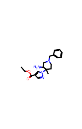 CCOC(=O)c1cnn(C2(C)CCN(Cc3ccccc3)CC2N)c1